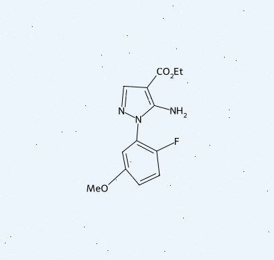 CCOC(=O)c1cnn(-c2cc(OC)ccc2F)c1N